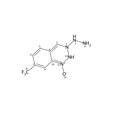 NNN1C=c2ccc(C(F)(F)F)cc2=[N+]([O-])N1